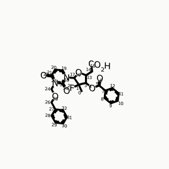 CC1(F)C(OC(=O)c2ccccc2)C(CC(=O)O)OC1n1ccc(=O)n(COCc2ccccc2)c1=O